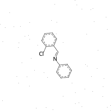 Clc1ccccc1C=Nc1ccccc1